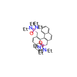 CCN(CC)P(=O)(Cc1ccc2ccccc2c1-c1c(CP(=O)(N(CC)CC)N(CC)CC)ccc2ccccc12)N(CC)CC